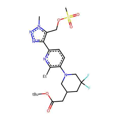 CCc1nc(-c2nnn(C)c2COS(C)(=O)=O)ccc1N1CC(CC(=O)OC(C)(C)C)CC(F)(F)C1